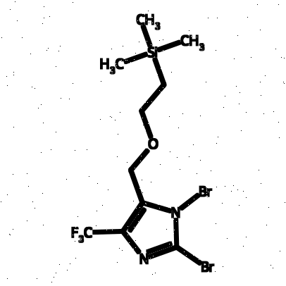 C[Si](C)(C)CCOCc1c(C(F)(F)F)nc(Br)n1Br